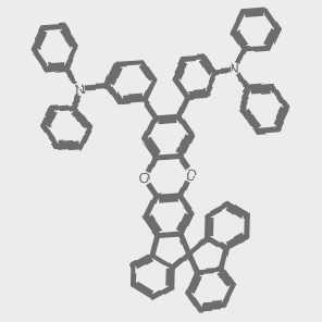 c1ccc(N(c2ccccc2)c2cccc(-c3cc4c(cc3-c3cccc(N(c5ccccc5)c5ccccc5)c3)Oc3cc5c(cc3O4)-c3ccccc3C53c4ccccc4-c4ccccc43)c2)cc1